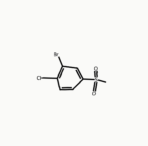 CS(=O)(=O)c1ccc(Cl)c(Br)c1